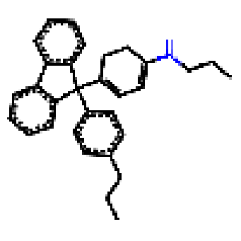 CCCNC1=CC=C(C2(c3ccc(CCC)cc3)c3ccccc3-c3ccccc32)CC1